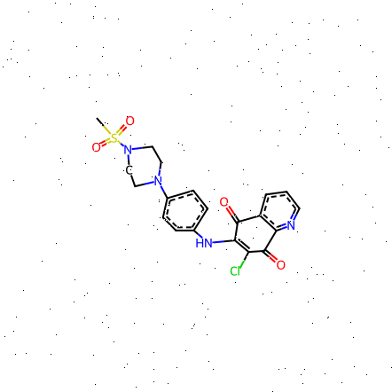 CS(=O)(=O)N1CCN(c2ccc(NC3=C(Cl)C(=O)c4ncccc4C3=O)cc2)CC1